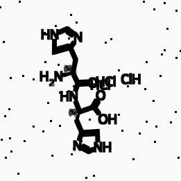 Cl.Cl.Cl.N[C@@H](Cc1c[nH]cn1)C(=O)N[C@@H](Cc1c[nH]cn1)C(=O)O